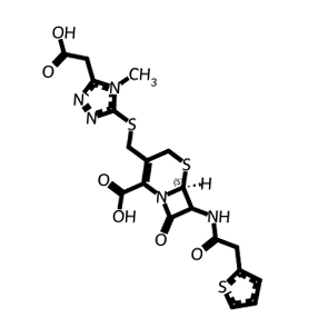 Cn1c(CC(=O)O)nnc1SCC1=C(C(=O)O)N2C(=O)C(NC(=O)Cc3cccs3)[C@@H]2SC1